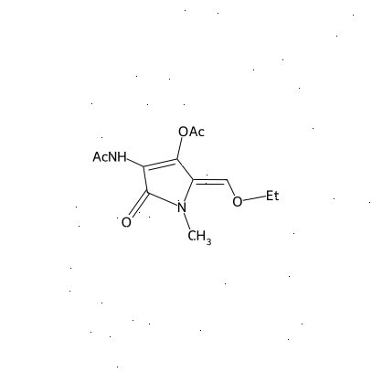 CCOC=C1C(OC(C)=O)=C(NC(C)=O)C(=O)N1C